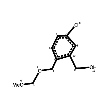 COCOCc1ccc(Cl)cc1CO